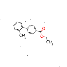 [CH2]c1ccccc1-c1ccc(C(=O)OCC)cc1